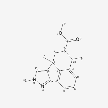 COC(=O)N1CC(C)(c2cnn(C)c2)c2ccccc2C1C